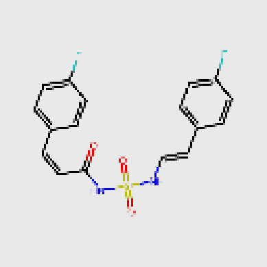 O=C(/C=C\c1ccc(F)cc1)NS(=O)(=O)N/C=C/c1ccc(F)cc1